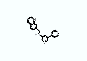 c1cnc2cc(CNc3cncc(-c4ccncc4)c3)ccc2c1